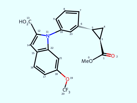 COC(=O)[C@@H]1C[C@H]1c1cccc(-n2c(C(=O)O)cc3ccc(OC(F)(F)F)cc32)c1